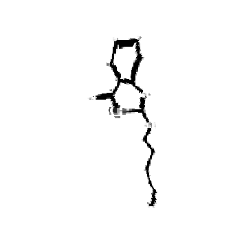 CCCCCNc1nc2ccccc2c(=O)[nH]1